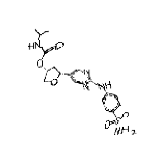 CC(C)NC(=O)O[C@H]1CO[C@H](c2cnc(Nc3ccc(S(N)(=O)=O)cc3)nc2)C1